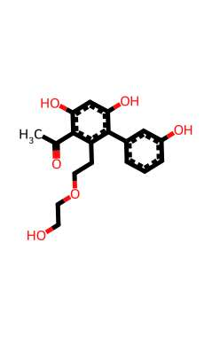 CC(=O)c1c(O)cc(O)c(-c2cccc(O)c2)c1CCOCCO